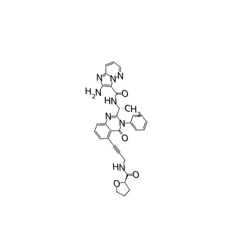 C[C@@H](NC(=O)c1c(N)nc2cccnn12)c1nc2cccc(C#CCNC(=O)[C@H]3CCCO3)c2c(=O)n1-c1ccccc1